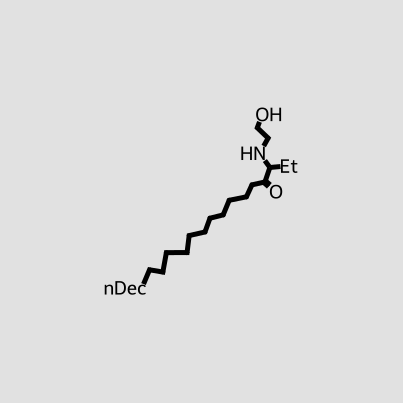 CCCCCCCCCCCCCCCCCCCCCC(=O)C(CC)NCCO